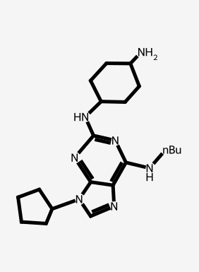 CCCCNc1nc(NC2CCC(N)CC2)nc2c1ncn2C1CCCC1